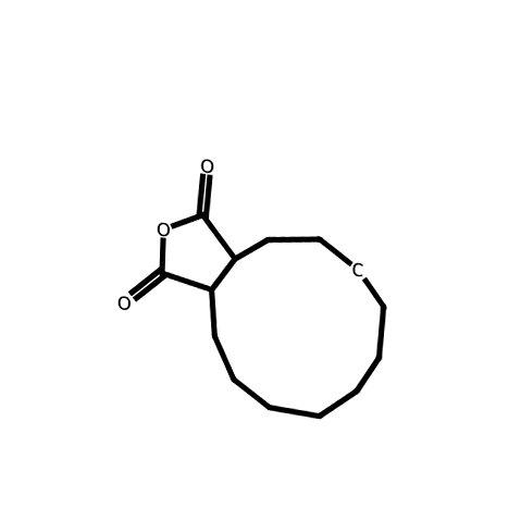 O=C1OC(=O)C2CCCCCCCCCCC12